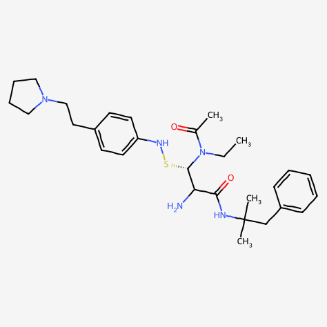 CCN(C(C)=O)[C@@H](SNc1ccc(CCN2CCCC2)cc1)C(N)C(=O)NC(C)(C)Cc1ccccc1